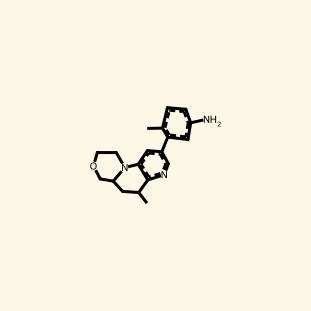 Cc1ccc(N)cc1-c1cnc2c(c1)N1CCOCC1CC2C